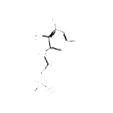 CCc1c(F)cc(F)cc1OCCO[Si](C)(C)C(C)(C)C